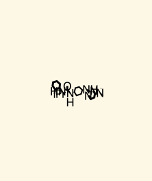 CC(C)c1ccccc1NC(=O)N[C@H]1CC[C@@H](Nc2nccc(N(C)C)n2)CC1